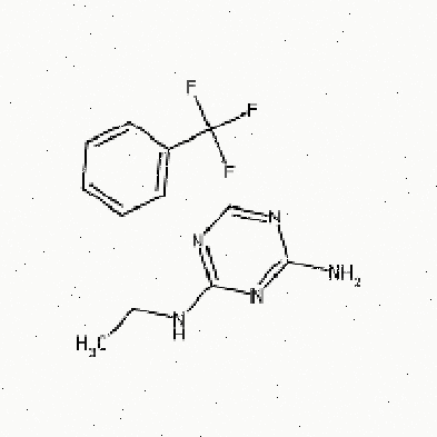 CCNc1ncnc(N)n1.FC(F)(F)c1ccccc1